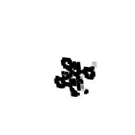 Nc1c(-c2cccc(F)c2)nc2ccccc2c1C(=O)N[C@H](c1ccccc1)C1CC1